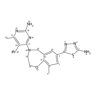 Cc1cc(-c2nnc(N)s2)cc2c1OCCN(c1nc(N)nc(C)c1C(C)C)C2